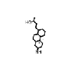 CC(O)CCC1CCCC2C1CCC1CC(=N)CC[C@@]12C